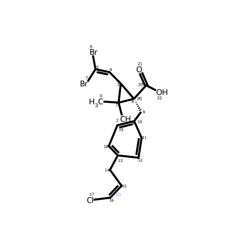 CC1(C)C(C=C(Br)Br)[C@@]1(Cc1ccc(C/C=C\Cl)cc1)C(=O)O